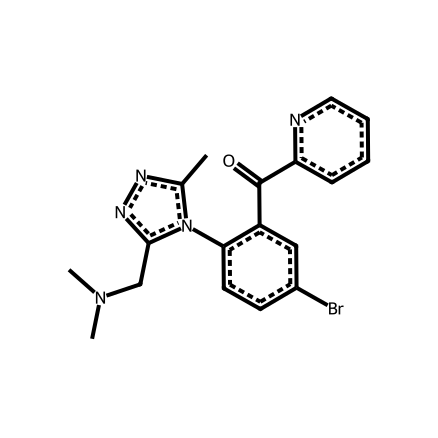 Cc1nnc(CN(C)C)n1-c1ccc(Br)cc1C(=O)c1ccccn1